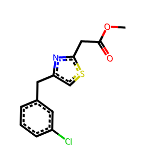 COC(=O)Cc1nc(Cc2cccc(Cl)c2)cs1